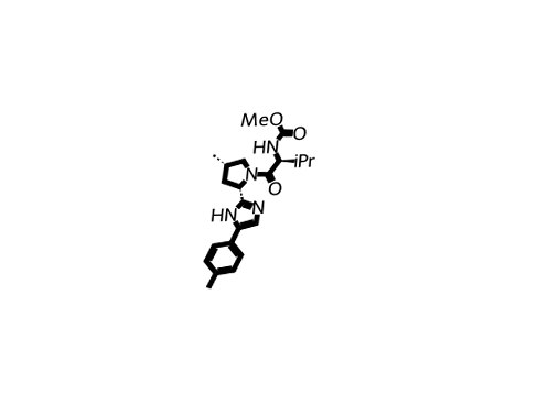 COC(=O)N[C@H](C(=O)N1C[C@@H](C)C[C@H]1c1ncc(-c2ccc(C)cc2)[nH]1)C(C)C